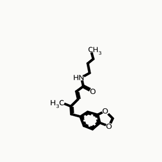 CCCCNC(=O)C=CC(C)=Cc1ccc2c(c1)OCO2